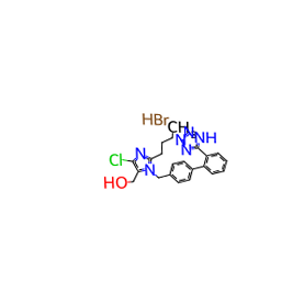 Br.CCCCc1nc(Cl)c(CO)n1Cc1ccc(-c2ccccc2-c2nnn[nH]2)cc1